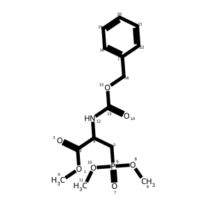 COC(=O)C(CP(=O)(OC)OC)NC(=O)OCc1ccccc1